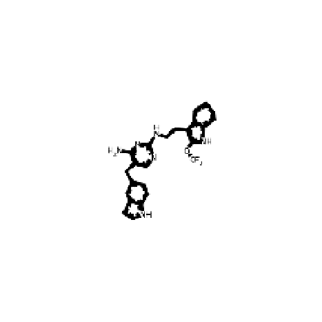 Nc1nc(NCCc2c(OC(F)(F)F)[nH]c3ccccc23)ncc1Cc1ccc2[nH]ccc2c1